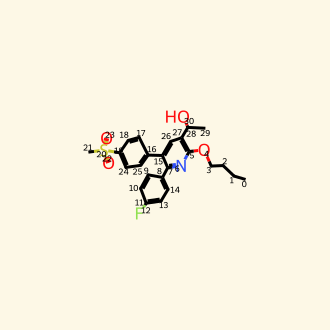 CCCCOc1nc(-c2ccc(F)cc2)c(-c2ccc(S(C)(=O)=O)cc2)cc1C(C)O